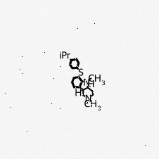 CC(C)c1ccc(Sc2cccc3c2N(C)[C@H]2CCN(C)C[C@H]32)cc1